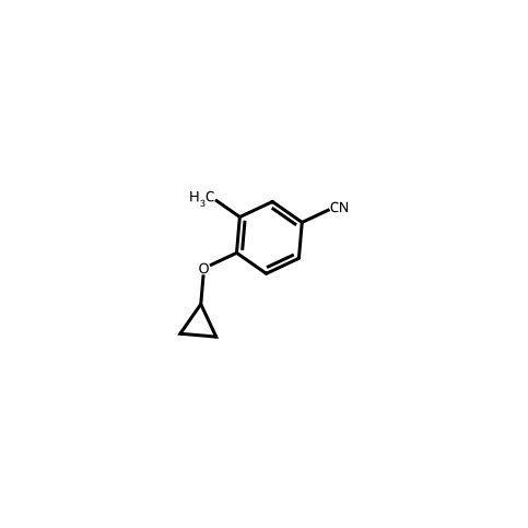 Cc1cc(C#N)ccc1OC1CC1